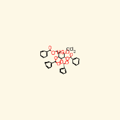 CC(COC(=O)c1ccccc1)C(OC(=O)c1ccccc1)C(OC(=O)c1ccccc1)C(OC(=O)c1ccccc1)C(O)OC(Cl)(Cl)Cl